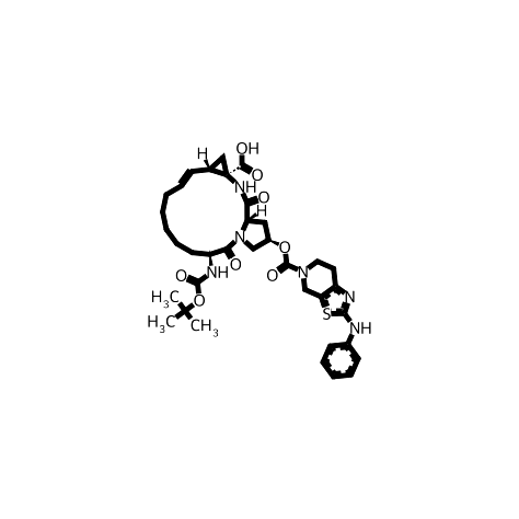 CC(C)(C)OC(=O)N[C@H]1CCCCC/C=C/[C@@H]2C[C@@]2(C(=O)O)NC(=O)[C@@H]2C[C@@H](OC(=O)N3CCc4nc(Nc5ccccc5)sc4C3)CN2C1=O